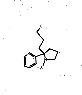 CCCCC1(c2ccccc2)CCCN1C